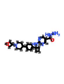 NNC(=O)c1cnc(NC2(c3ccc(C4CCN(C5COC5)CC4)cc3)CCC2)nc1